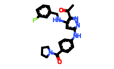 CC(=O)c1nnc(Nc2ccc(C(=O)N3CCCC3)cc2)cc1NCc1cccc(F)c1